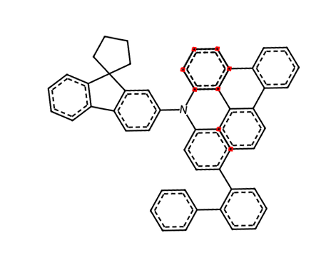 c1ccc(-c2ccccc2-c2ccc(N(c3ccc4c(c3)C3(CCCC3)c3ccccc3-4)c3ccccc3-c3ccccc3-c3ccccc3-c3ccccc3)cc2)cc1